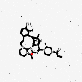 C=CC(=O)N1CCN(c2nc(=O)n3c4c(O)c(c(C)cc24)-c2c(ccc(P)c2F)/C=C/N2CCCN(CC)C23)[C@@H](C)C1